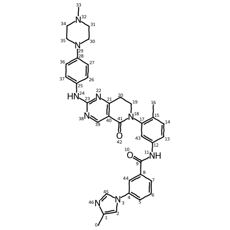 Cc1cn(-c2cccc(C(=O)Nc3ccc(C)c(N4CCc5nc(Nc6ccc(N7CCN(C)CC7)cc6)ncc5C4=O)c3)c2)cn1